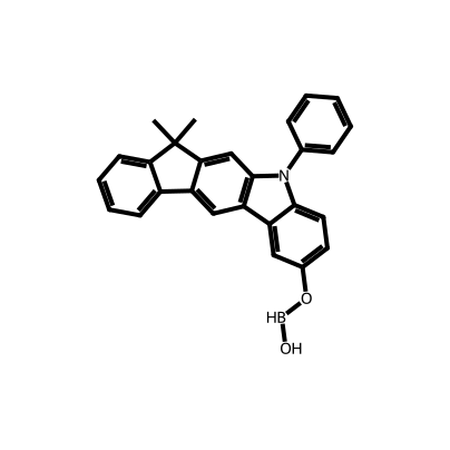 CC1(C)c2ccccc2-c2cc3c4cc(OBO)ccc4n(-c4ccccc4)c3cc21